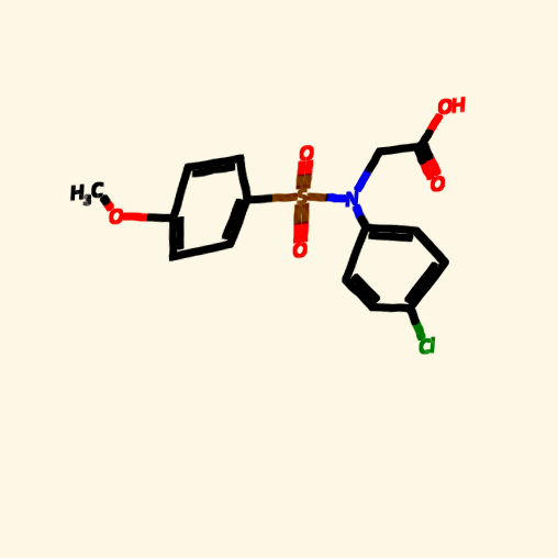 COc1ccc(S(=O)(=O)N(CC(=O)O)c2ccc(Cl)cc2)cc1